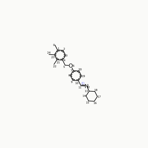 Cc1ccc(COc2ccc(/C=N/C3CCCCC3)cc2)c(C)c1C